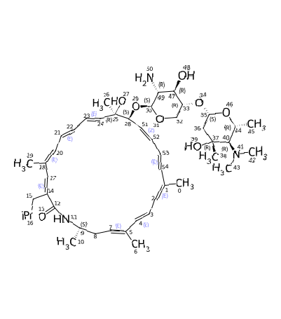 CC1=C\C=C\C(C)=C\C[C@H](C)NC(=O)/C(CC(C)C)=C/C(C)=C/C=C/C=C/[C@@](C)(O)[C@@H](O[C@@H]2OC[C@@H](O[C@H]3C[C@@](C)(O)[C@H](N(C)C)[C@@H](C)O3)[C@H](O)[C@H]2N)/C=C\C=C\1